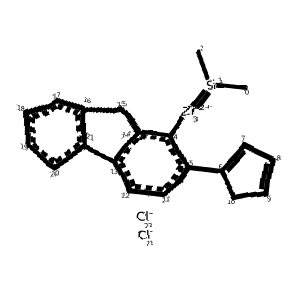 C[Si](C)=[Zr+2][c]1c(C2=CC=CC2)ccc2c1Cc1ccccc1-2.[Cl-].[Cl-]